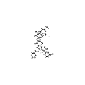 Cc1cc(C)c(S(=O)(=O)NC(CNC(=O)c2cn(CCc3ccccc3)c3c(F)c(-c4cccc(N)n4)c(F)cc3c2=O)C(=O)O)c(C)c1